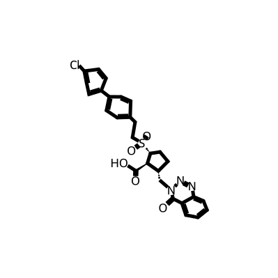 O=C(O)[C@@H]1[C@@H](Cn2nnc3ccccc3c2=O)CC[C@H]1S(=O)(=O)CCc1ccc(-c2ccc(Cl)cc2)cc1